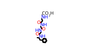 CC(Cc1ccccc1)NC(=O)CNC(=O)CNC(=O)CCNCC(=O)O